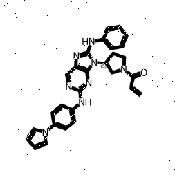 C=CC(=O)N1CC[C@H](n2c(Nc3ccccc3)nc3cnc(Nc4ccc(-n5cccc5)cc4)nc32)C1